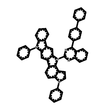 c1ccc(-c2ccc(-c3nc(-n4c5cc6c7ccccc7n(-c7ccccc7)c6cc5c5ccc6c(ccn6-c6ccccc6)c54)nc4ccccc34)cc2)cc1